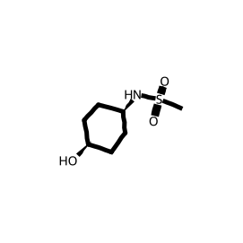 CS(=O)(=O)N[C@H]1CC[C@@H](O)CC1